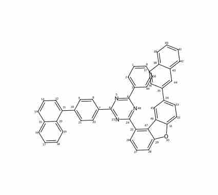 c1ccc(-c2nc(-c3ccc(-c4cccc5ccccc45)cc3)nc(-c3cccc4oc5ccc(-c6ccc7ccccc7c6)cc5c34)n2)cc1